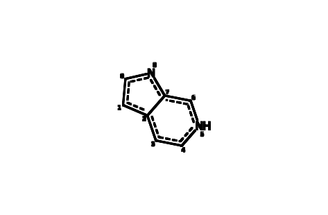 c1cc2cc[nH]cc-2n1